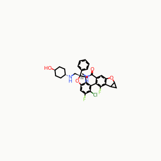 CNC(=O)c1cc2c(c(F)c1-c1c(Cl)c(F)cc3c1C[C@@](CN[C@H]1CC[C@H](O)CC1)(c1ccccc1)O3)C1CC1O2